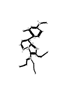 CCCN(CCC)c1c(CC)nc2c(-c3ccc(OC)cc3C)ccnn12